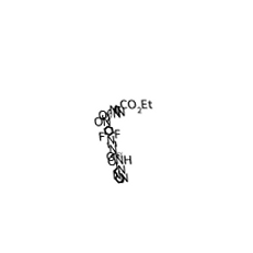 CCOC(=O)c1cn(C[C@H]2CN(c3cc(F)c(N4CCN(C(=O)[C@H](C)NC(=O)c5cn6cccnc6n5)CC4)c(F)c3)C(=O)O2)nn1